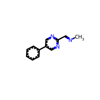 C/N=C/c1ncc(-c2ccccc2)cn1